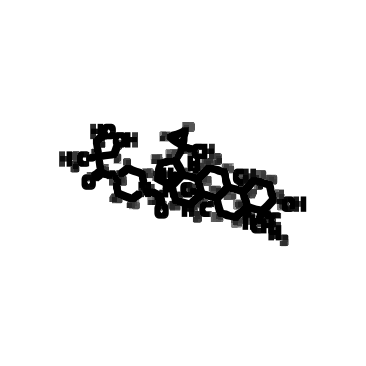 CC(CO)(CO)C(=O)N1CCN(C(=O)[C@]23CC[C@@H](C4(C)CC4)[C@@H]2[C@H]2CCC4[C@@]5(C)CC[C@H](O)C(C)(C)[C@@H]5CC[C@@]4(C)[C@]2(C)CC3)CC1